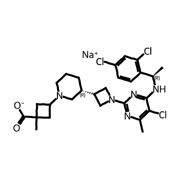 Cc1nc(N2CC([C@H]3CCCN(C4CC(C)(C(=O)[O-])C4)C3)C2)nc(N[C@H](C)c2ccc(Cl)cc2Cl)c1Cl.[Na+]